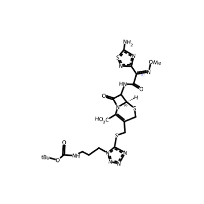 CO/N=C(/C(=O)NC1C(=O)N2C(C(=O)O)=C(CSc3nnnn3CCCNC(=O)OC(C)(C)C)CS[C@H]12)c1nsc(N)n1